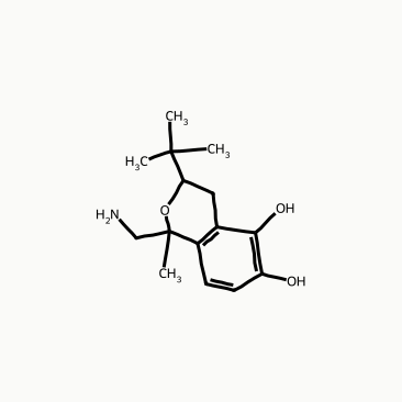 CC1(CN)OC(C(C)(C)C)Cc2c1ccc(O)c2O